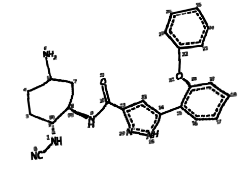 N#CN[C@@H]1CCC(N)C[C@H]1NC(=O)c1cc(-c2ccccc2Oc2ccccc2)[nH]n1